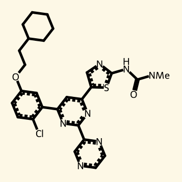 CNC(=O)Nc1ncc(-c2cc(-c3cc(OCCC4CCCCC4)ccc3Cl)nc(-c3cnccn3)n2)s1